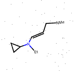 CCN(/C=C/CNC)C1CC1